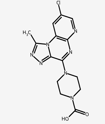 Cc1nnc2c(N3CCN(C(=O)O)CC3)nc3ncc(Cl)cc3n12